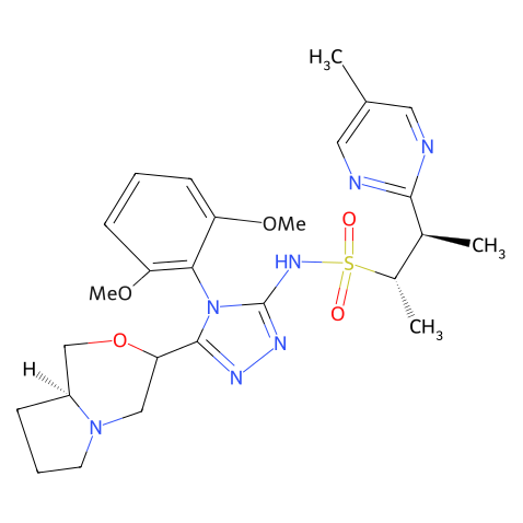 COc1cccc(OC)c1-n1c(NS(=O)(=O)[C@@H](C)[C@H](C)c2ncc(C)cn2)nnc1C1CN2CCC[C@H]2CO1